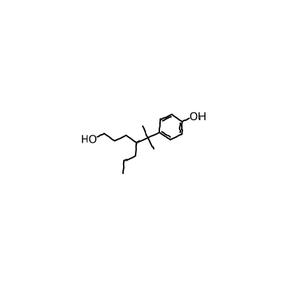 CCCC(CCCO)C(C)(C)c1ccc(O)cc1